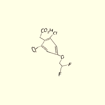 O=C(O)Cc1c(Cl)cc(OCC(F)F)cc1Cl